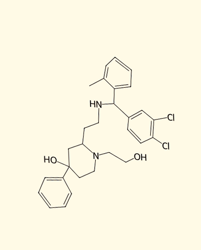 Cc1ccccc1C(NCCC1CC(O)(c2ccccc2)CCN1CCO)c1ccc(Cl)c(Cl)c1